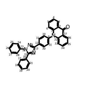 O=c1c2ccccc2n(-c2ccc(-c3nc(-c4ccccc4)n(-c4ccccc4)n3)cc2)c2ccccc12